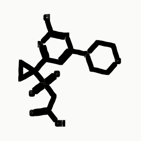 O=C(O)CS(=O)(=O)C1(c2cc(N3CCOCC3)nc(Cl)n2)CC1